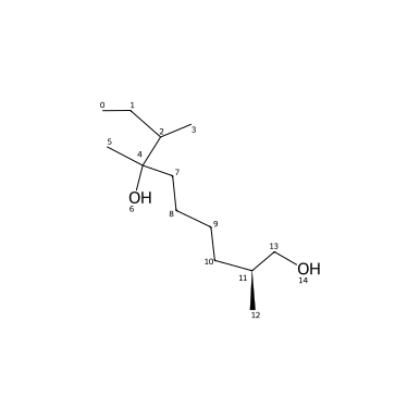 CCC(C)C(C)(O)CCCC[C@H](C)CO